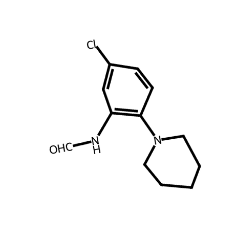 O=CNc1cc(Cl)ccc1N1CCCCC1